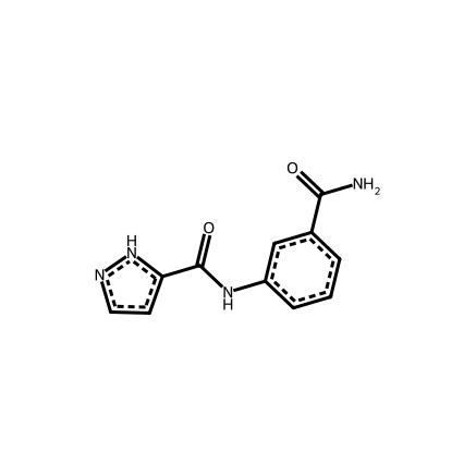 NC(=O)c1cccc(NC(=O)c2ccn[nH]2)c1